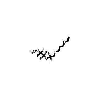 C=COCCCOCC(F)(F)OC(F)(F)C(F)(F)OC(F)(F)F